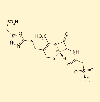 O=C(CS(=O)(=O)C(F)(F)F)NC1C(=O)N2C(C(=O)O)=C(CSc3nnc(CS(=O)(=O)O)o3)CS[C@@H]12